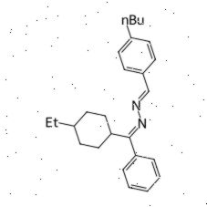 CCCCc1ccc(C=NN=C(c2ccccc2)C2CCC(CC)CC2)cc1